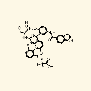 Cc1ccc(NC(=O)c2ccc3[nH]ccc3c2)cc1-c1nc(NC(CO)CO)nc2c1ccc(=O)n2-c1c(F)cccc1F.O=C(O)C(F)(F)F